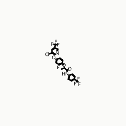 CC(Oc1ccc(Oc2ncc(C(F)(F)F)cc2Cl)cc1F)C(=O)Nc1ccc(C(F)(F)F)cc1